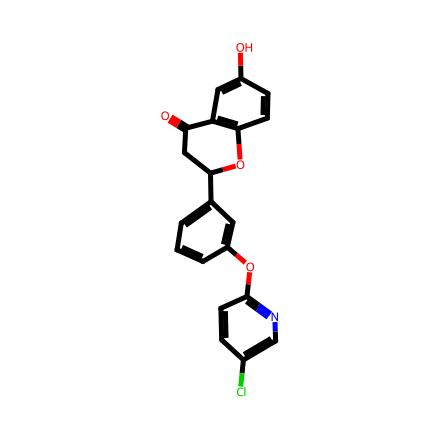 O=C1CC(c2cccc(Oc3ccc(Cl)cn3)c2)Oc2ccc(O)cc21